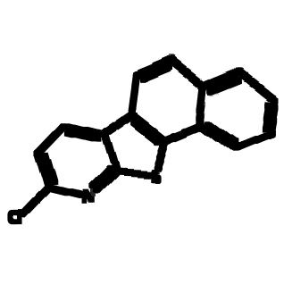 Clc1ccc2c(n1)sc1c3ccccc3ccc21